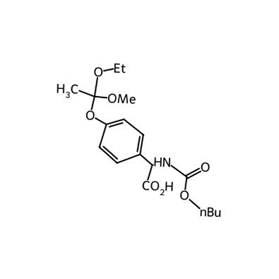 CCCCOC(=O)NC(C(=O)O)c1ccc(OC(C)(OC)OCC)cc1